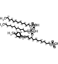 CCCCCCCCCCCCOS(=O)(=O)O.CCCCCCCCCCCCOS(=O)(=O)O.CCCCCCCCCCCCOS(=O)(=O)O.Nc1ccc([SiH3])cc1